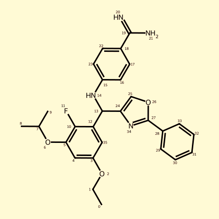 CCOc1cc(OC(C)C)c(F)c(C(Nc2ccc(C(=N)N)cc2)c2coc(-c3ccccc3)n2)c1